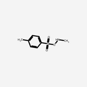 CNOS(=O)(=O)c1ccc(C)cc1